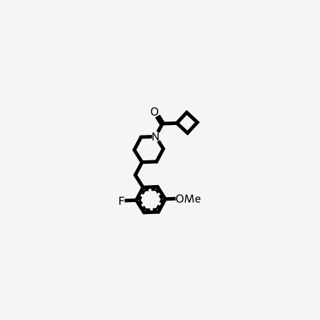 COc1ccc(F)c(CC2CCN(C(=O)C3CCC3)CC2)c1